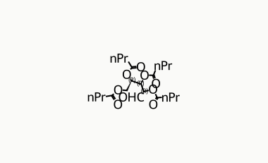 CCCC(=O)OC[C@@H](OC(=O)CCC)[C@@H](OC(=O)CCC)[C@H](C=O)OC(=O)CCC